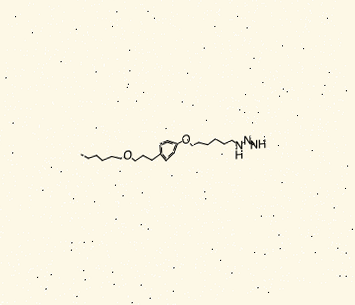 CCCCCCOCCCc1ccc(OCCCCCCNN=N)cc1